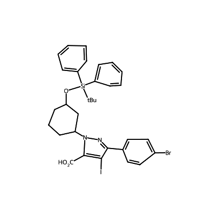 CC(C)(C)[Si](OC1CCCC(n2nc(-c3ccc(Br)cc3)c(I)c2C(=O)O)C1)(c1ccccc1)c1ccccc1